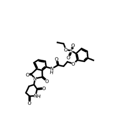 CCOS(=O)(=O)c1ccc(C)cc1OCCC(=O)Nc1cccc2c1C(=O)N(C1CCC(=O)NC1=O)C2=O